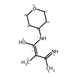 CC(=N)/C(C)=C(/O)NC1CCOCC1